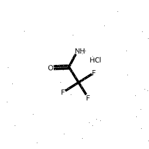 Cl.[NH]C(=O)C(F)(F)F